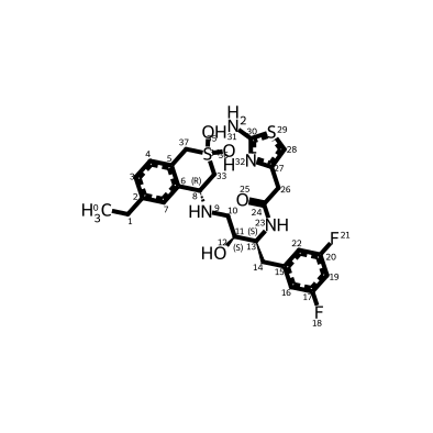 CCc1ccc2c(c1)[C@@H](NC[C@H](O)[C@H](Cc1cc(F)cc(F)c1)NC(=O)Cc1csc(N)n1)CS(O)(O)C2